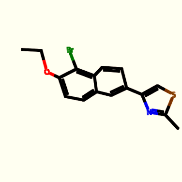 CCOc1ccc2cc(-c3csc(C)n3)ccc2c1Br